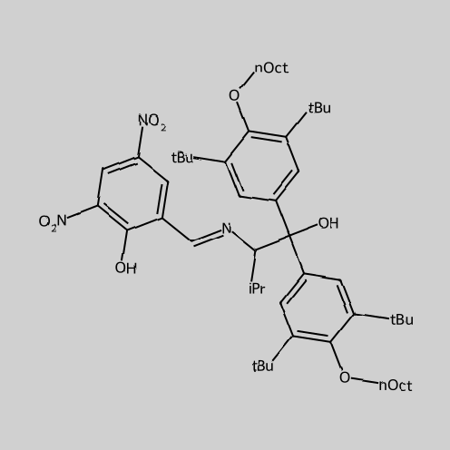 CCCCCCCCOc1c(C(C)(C)C)cc(C(O)(c2cc(C(C)(C)C)c(OCCCCCCCC)c(C(C)(C)C)c2)C(N=Cc2cc([N+](=O)[O-])cc([N+](=O)[O-])c2O)C(C)C)cc1C(C)(C)C